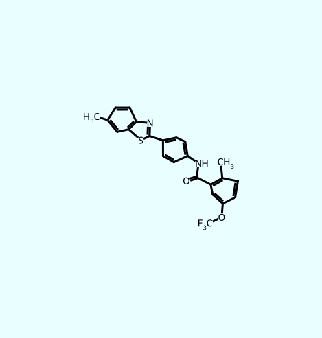 Cc1ccc2nc(-c3ccc(NC(=O)c4cc(OC(F)(F)F)ccc4C)cc3)sc2c1